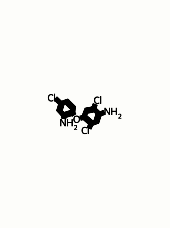 Nc1cc(Cl)c(Oc2ccc(Cl)cc2N)cc1Cl